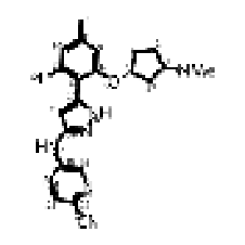 CN[C@@H]1CC[C@@H](Oc2cc(C)cc(F)c2-c2cc(Nc3cnc(C#N)cn3)n[nH]2)C1